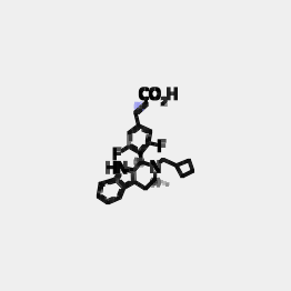 C[C@@H]1Cc2c([nH]c3ccccc23)[C@@H](c2c(F)cc(/C=C/C(=O)O)cc2F)N1CC1CCC1